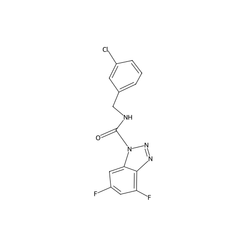 O=C(NCc1cccc(Cl)c1)n1nnc2c(F)cc(F)cc21